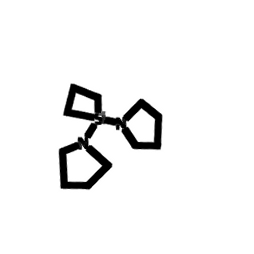 C1CCN([Si]2(N3CCCC3)CCC2)C1